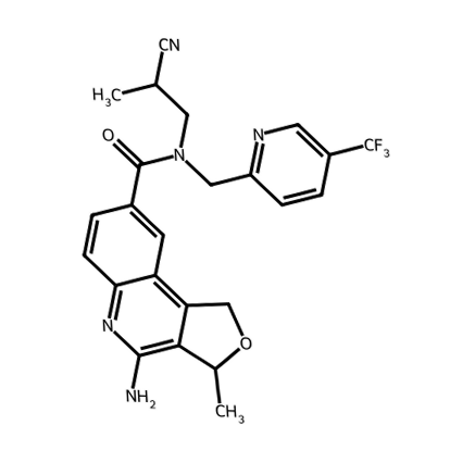 CC(C#N)CN(Cc1ccc(C(F)(F)F)cn1)C(=O)c1ccc2nc(N)c3c(c2c1)COC3C